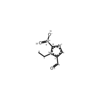 CCn1c(C=O)cnc1[N+](=O)[O-]